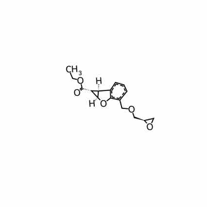 CCOC(=O)[C@H]1[C@@H]2Oc3c(COC[C@H]4CO4)cccc3[C@@H]21